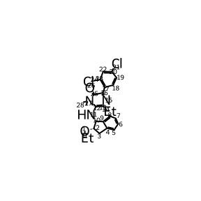 CCO[C@H]1Cc2ccccc2[C@H]1Nc1c(CC)nc(-c2ccc(Cl)cc2Cl)c(=O)n1C